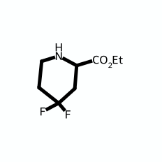 CCOC(=O)C1CC(F)(F)CCN1